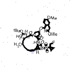 COc1ccc2c(O[C@@H]3C[C@H]4C(=O)N[C@]5(C(=O)NS(=O)(=O)C6(CF)CC6)C[C@@H]5/C=C\CC[C@@H](C)C[C@@H](C)[C@H](NC(=O)OC(C)(C)C)C(=O)N4C3)nc(OC)cc2c1